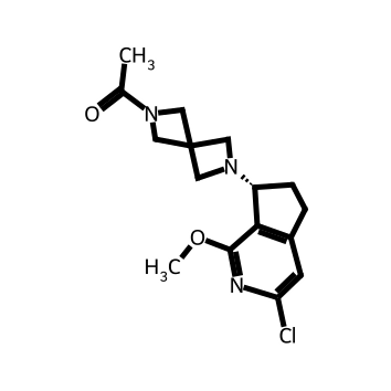 COc1nc(Cl)cc2c1[C@H](N1CC3(CN(C(C)=O)C3)C1)CC2